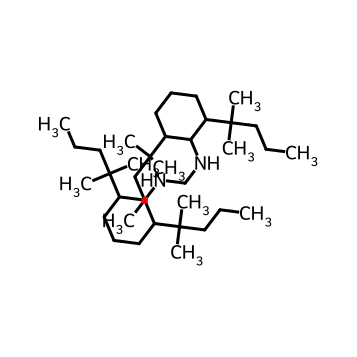 CCCC(C)(C)C1CCCC(C(C)(C)CCC)C1NCNC1C(C(C)(C)CCC)CCCC1C(C)(C)CCC